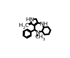 C=C1NCC2=C1C(c1ccccc1)N(C)C1CCCCC1N2